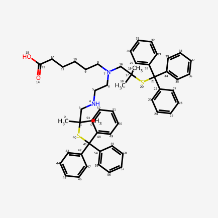 CC(C)(CNCCN(CCCCCC(=O)O)CC(C)(C)SC(c1ccccc1)(c1ccccc1)c1ccccc1)SC(c1ccccc1)(c1ccccc1)c1ccccc1